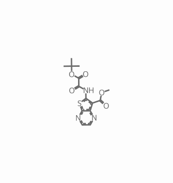 COC(=O)c1c(NC(=O)C(=O)OC(C)(C)C)sc2nccnc12